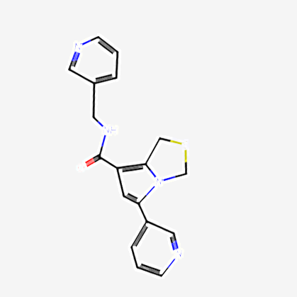 O=C(NCc1cccnc1)c1cc(-c2cccnc2)n2c1CSC2